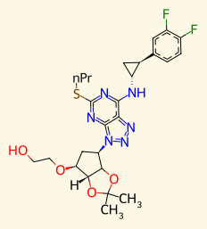 CCCSc1nc(N[C@@H]2C[C@H]2c2ccc(F)c(F)c2)c2nnn([C@@H]3C[C@H](OCCO)[C@H]4OC(C)(C)OC34)c2n1